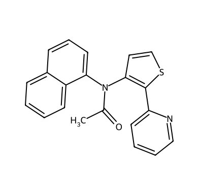 CC(=O)N(c1ccsc1-c1ccccn1)c1cccc2ccccc12